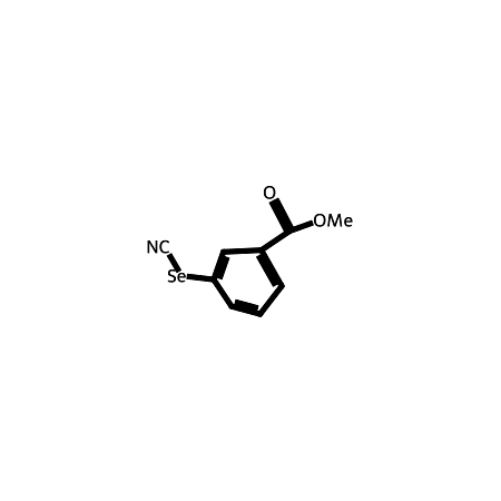 COC(=O)c1cccc([Se]C#N)c1